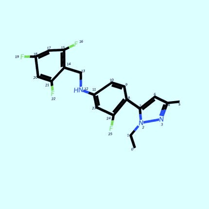 CCn1nc(C)cc1-c1ccc(NCc2c(F)cc(F)cc2F)cc1F